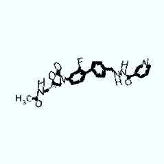 CC(=O)NC[C@H]1CN(c2ccc(-c3ccc(CNNC(=O)c4cccnc4)cc3)c(F)c2)C(=O)O1